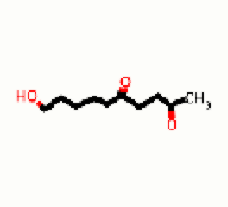 CC(=O)CCC(=O)CCCCCO